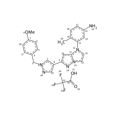 COc1ccc(Cn2cc(-c3cc4n(-c5cc(N)ccc5C)ccn4n3)cn2)cc1.O=C(O)C(F)(F)F